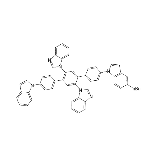 CCCCc1ccc2c(ccn2-c2ccc(-c3cc(-n4cnc5ccccc54)c(-c4ccc(-n5ccc6ccccc65)cc4)cc3-n3cnc4ccccc43)cc2)c1